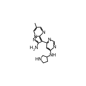 Cc1cnc2c(-c3cc(NC4CCNC4)ncn3)c(N)nn2c1